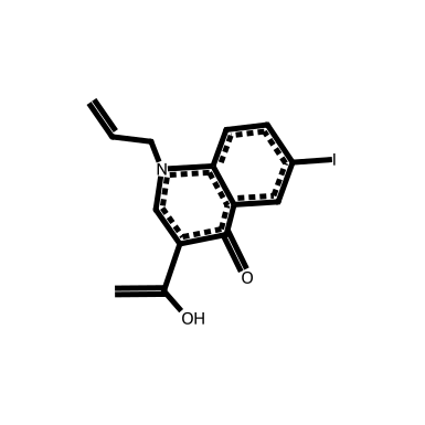 C=CCn1cc(C(=C)O)c(=O)c2cc(I)ccc21